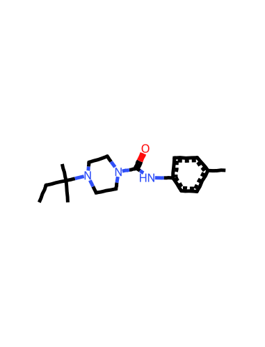 CCC(C)(C)N1CCN(C(=O)Nc2ccc(C)cc2)CC1